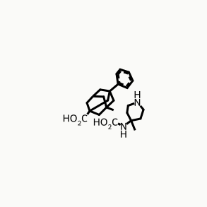 CC1(NC(=O)O)CCNCC1.CC12CC3CC(C(=O)O)(C1)CC(c1ccccc1)(C3)C2